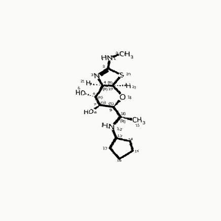 CNC1=N[C@@H]2[C@@H](O)[C@H](O)[C@H]([C@@H](C)NC3CCCC3)O[C@@H]2S1